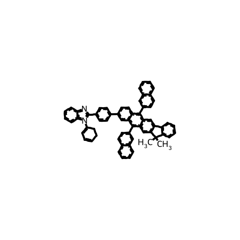 CC1(C)c2ccccc2-c2cc3c(-c4ccc5ccccc5c4)c4ccc(-c5ccc(-c6nc7ccccc7n6C6=CC=CCC6)cc5)cc4c(-c4ccc5ccccc5c4)c3cc21